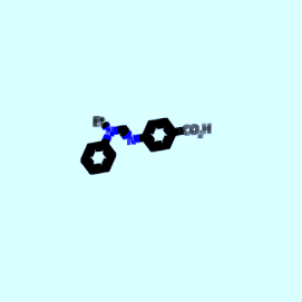 CCN(C=Nc1ccc(C(=O)O)cc1)c1ccccc1